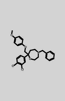 COc1ccc(OCC2(c3ccc(Cl)c(Cl)c3)CCN(Cc3ccccc3)CCO2)cc1